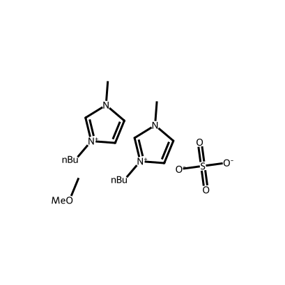 CCCC[n+]1ccn(C)c1.CCCC[n+]1ccn(C)c1.COC.O=S(=O)([O-])[O-]